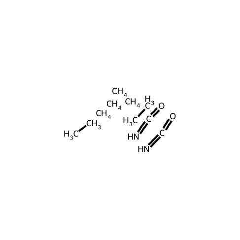 C.C.C.C.CC.CC.N=C=O.N=C=O